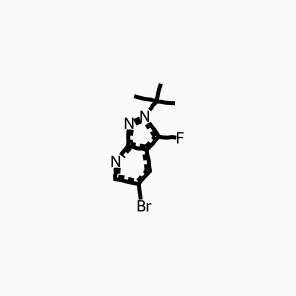 CC(C)(C)n1nc2ncc(Br)cc2c1F